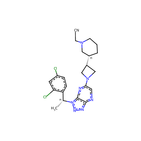 C[C@H](c1ccc(Cl)cc1Cl)n1nnc2ncc(N3CC([C@H]4CCCN(CC#N)C4)C3)nc21